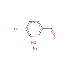 O=Cc1ccc(Br)cc1.[Na+].[OH-]